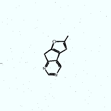 Cc1cc2c(o1)Cc1ncncc1-2